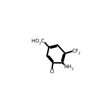 Nc1c(Cl)cc(C(=O)O)cc1C(F)(F)F